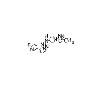 Cc1nnc(N2CCC(Nc3nc4c(-c5ccc(F)nc5)cccn4n3)CC2)o1